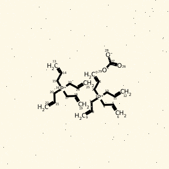 C=CC[P+](CC=C)(CC=C)CC=C.C=CC[P+](CC=C)(CC=C)CC=C.O=C([O-])[O-]